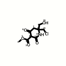 COC(=O)C1C(=O)CC(CO)(CCl)NC1=O